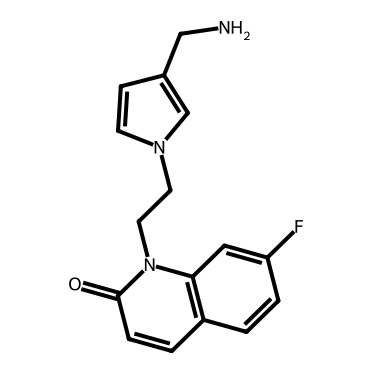 NCc1ccn(CCn2c(=O)ccc3ccc(F)cc32)c1